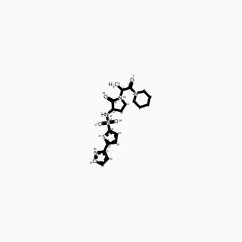 CC(C(=O)N1CCCCC1)N1CCC(NS(=O)(=O)c2ccc(-c3ccon3)s2)C1=O